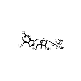 COP(=O)(OC)OC[C@H]1O[C@@H](Cn2cnc3c(N)nc(Cl)nc32)C(C)(CO)C1O